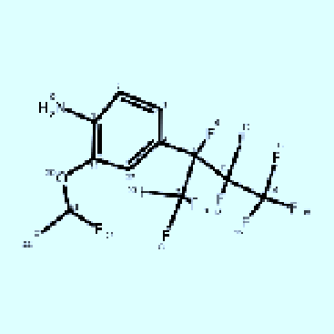 Nc1ccc(C(F)(C(F)(F)F)C(F)(F)C(F)(F)F)cc1OC(F)F